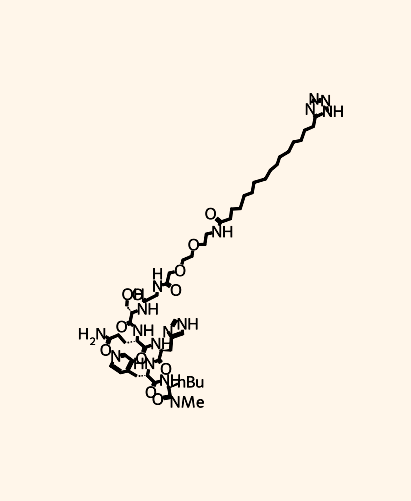 CCCC[C@H](NC(=O)[C@H](Cc1ccncc1)NC(=O)[C@H](Cc1c[nH]cn1)NC(=O)[C@H](CCC(N)=O)NC(=O)[C@H](CO)NC(=O)CNC(=O)COCCOCCNC(=O)CCCCCCCCCCCCCCCc1nnn[nH]1)C(=O)NC